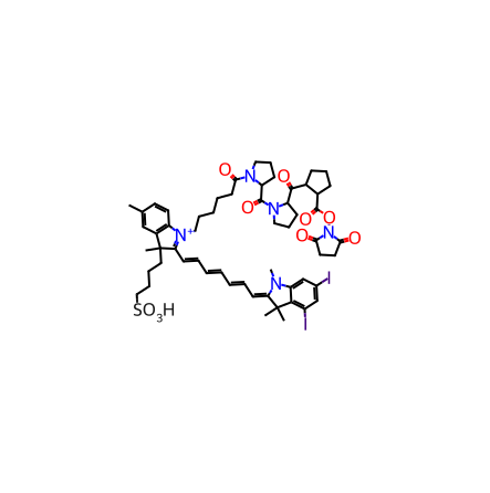 Cc1ccc2c(c1)C(C)(CCCCS(=O)(=O)O)C(/C=C/C=C/C=C/C=C1\N(C)c3cc(I)cc(I)c3C1(C)C)=[N+]2CCCCCC(=O)N1CCCC1C(=O)N1CCCC1C(=O)C1CCCC1C(=O)ON1C(=O)CCC1=O